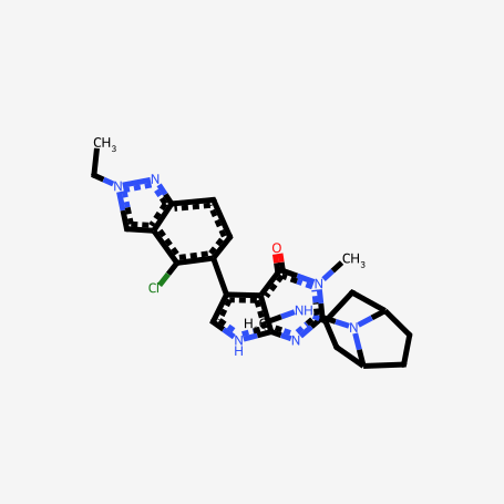 CCn1cc2c(Cl)c(-c3c[nH]c4nc(N5C6CCC5CC(NC)C6)n(C)c(=O)c34)ccc2n1